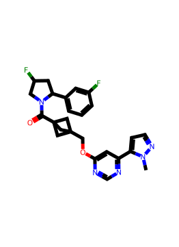 Cn1nccc1-c1cc(OCC23CC(C(=O)N4CC(F)CC4c4cccc(F)c4)(C2)C3)ncn1